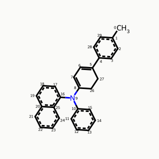 Cc1ccc(C2=CC=C(N(c3ccccc3)c3cccc4ccccc34)CC2)cc1